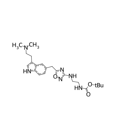 CN(C)CCc1c[nH]c2ccc(Cc3nc(NCCNC(=O)OC(C)(C)C)no3)cc12